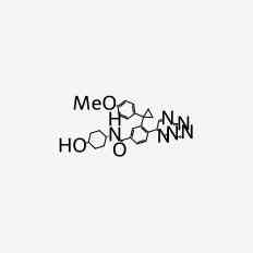 COc1ccc(C2(c3cc(C(=O)N[C@H]4CC[C@H](O)CC4)ccc3-c3cnc4nncn4n3)CC2)cc1